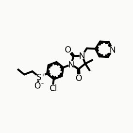 CCC[S+]([O-])c1ccc(N2C(=O)N(Cc3ccncc3)C(C)(C)C2=O)cc1Cl